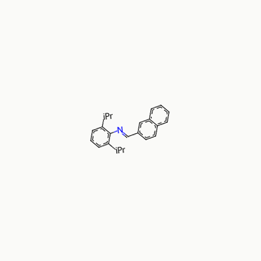 CC(C)c1cccc(C(C)C)c1N=Cc1ccc2ccccc2c1